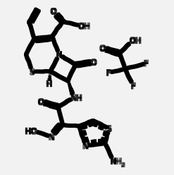 C=CC1=C(C(=O)O)N2C(=O)[C@@H](NC(=O)/C(=N\O)c3csc(N)n3)[C@H]2SC1.O=C(O)C(F)(F)F